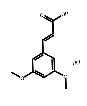 COc1cc(C=CC(=O)O)cc(OC)c1.Cl